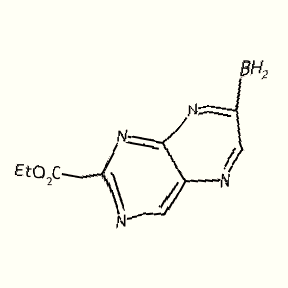 Bc1cnc2cnc(C(=O)OCC)nc2n1